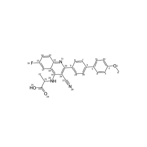 COc1ccc(-c2ccc(-c3nc4ccc(F)cc4c(NC(C)C(=O)O)c3C#N)cc2)cc1